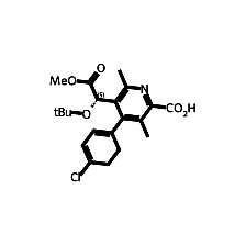 COC(=O)[C@@H](OC(C)(C)C)c1c(C)nc(C(=O)O)c(C)c1C1=CC=C(Cl)CC1